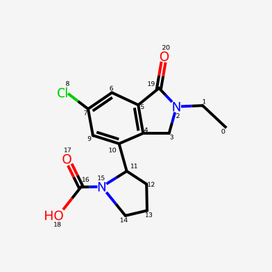 CCN1Cc2c(cc(Cl)cc2C2CCCN2C(=O)O)C1=O